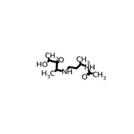 CC(=O)NC(C)CCNC(C)C(=O)C(C)O